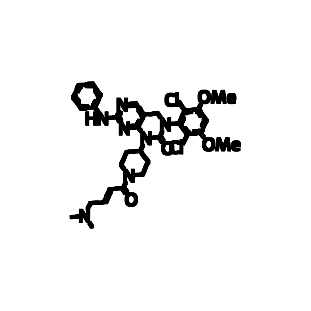 COc1cc(OC)c(Cl)c(N2Cc3cnc(Nc4ccccc4)nc3N(C3CCN(C(=O)C=CCN(C)C)CC3)C2=O)c1Cl